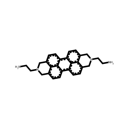 NCCN1Cc2ccc3c4ccc5c6c(ccc(c7ccc(c2c37)C1)c64)CN(CCN)C5